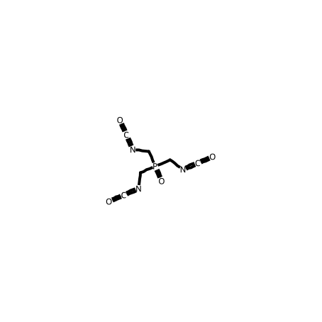 O=C=NCP(=O)(CN=C=O)CN=C=O